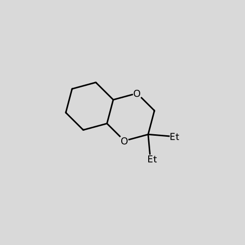 CCC1(CC)COC2CCCCC2O1